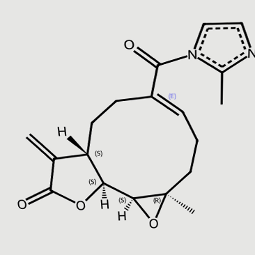 C=C1C(=O)O[C@H]2[C@H]1CC/C(C(=O)n1ccnc1C)=C\CC[C@@]1(C)O[C@@H]21